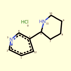 Cl.c1cncc(C2CCCCN2)c1